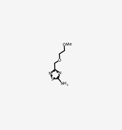 COCCOCc1nsc(N)n1